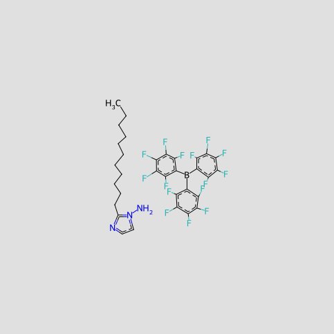 CCCCCCCCCCCc1nccn1N.Fc1c(F)c(F)c(B(c2c(F)c(F)c(F)c(F)c2F)c2c(F)c(F)c(F)c(F)c2F)c(F)c1F